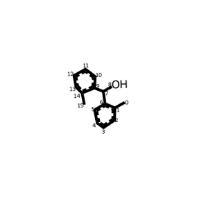 Cc1ccccc1C(O)c1ccccc1C